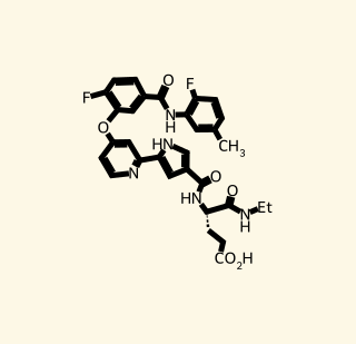 CCNC(=O)[C@H](CCC(=O)O)NC(=O)c1c[nH]c(-c2cc(Oc3cc(C(=O)Nc4cc(C)ccc4F)ccc3F)ccn2)c1